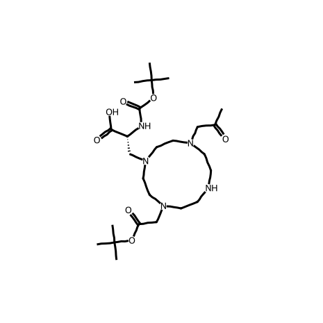 CC(=O)CN1CCNCCN(CC(=O)OC(C)(C)C)CCN(C[C@@H](NC(=O)OC(C)(C)C)C(=O)O)CC1